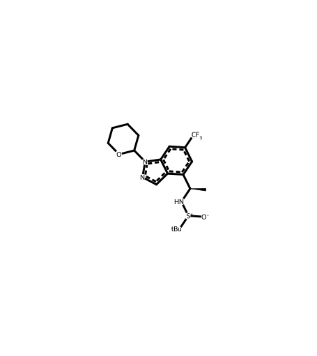 C[C@@H](N[S+]([O-])C(C)(C)C)c1cc(C(F)(F)F)cc2c1cnn2C1CCCCO1